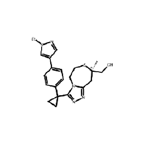 CCn1cc(-c2ccc(C3(c4nnc5n4CCS[C@@](C)(CO)C5)CC3)cc2)cn1